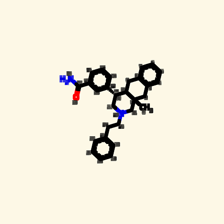 CC12Cc3ccccc3CC1[C@@H](c1cccc(C(N)=O)c1)CN(CCc1ccccc1)C2